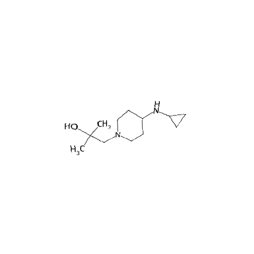 CC(C)(O)CN1CCC(NC2CC2)CC1